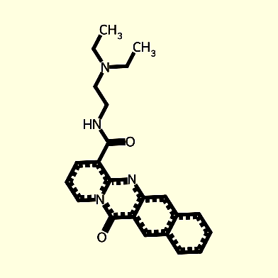 CCN(CC)CCNC(=O)c1cccn2c(=O)c3cc4ccccc4cc3nc12